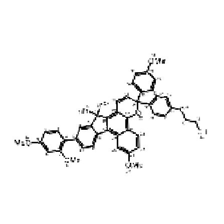 CCCC1(CCC)c2cc(-c3ccc(OC)cc3OC)ccc2-c2c1c1c(c3ccc(OC)cc23)OC(c2ccc(OC)cc2)(c2ccc(OCCO)cc2)C=C1